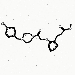 COC(=O)CCc1ccccc1OCC(=O)N1CCN(Cc2ccc(Cl)cc2)CC1